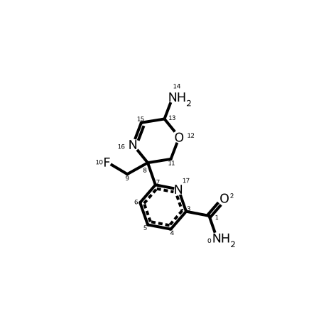 NC(=O)c1cccc(C2(CF)COC(N)C=N2)n1